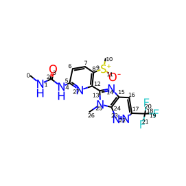 CNC(=O)Nc1ccc([S+](C)[O-])c(-c2nc3cc(C(F)(F)F)nnc3n2C)n1